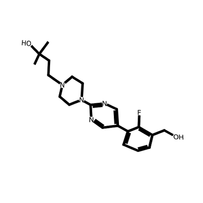 CC(C)(O)CCN1CCN(c2ncc(-c3cccc(CO)c3F)cn2)CC1